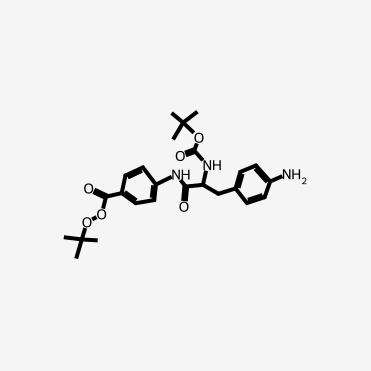 CC(C)(C)OOC(=O)c1ccc(NC(=O)C(Cc2ccc(N)cc2)NC(=O)OC(C)(C)C)cc1